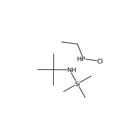 CC(C)(C)N[Si](C)(C)C.CCPCl